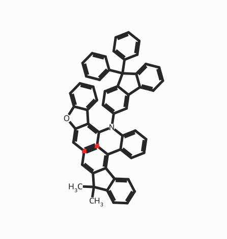 CC1(C)c2ccccc2-c2c(-c3ccccc3N(c3ccc4c(c3)-c3ccccc3C4(c3ccccc3)c3ccccc3)c3cccc4oc5ccccc5c34)cccc21